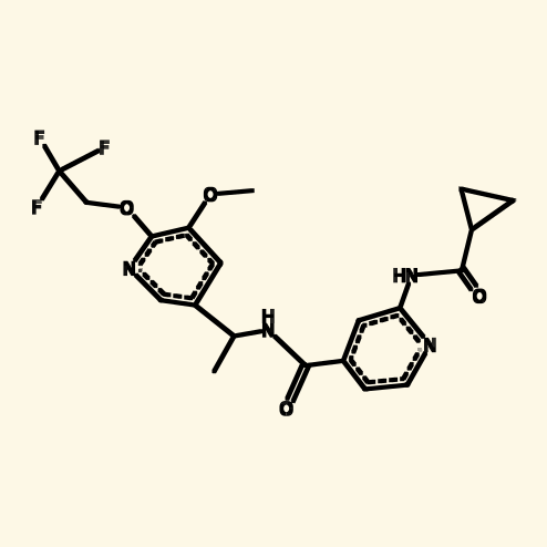 COc1cc(C(C)NC(=O)c2ccnc(NC(=O)C3CC3)c2)cnc1OCC(F)(F)F